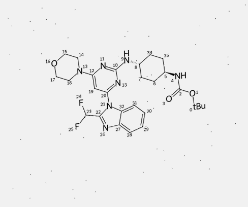 CC(C)(C)OC(=O)N[C@H]1CC[C@H](Nc2nc(N3CCOCC3)cc(-n3c(C(F)F)nc4ccccc43)n2)CC1